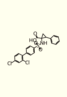 O=C(O)C1(NS(=O)(=O)c2ccc(-c3ccc(Cl)cc3Cl)cc2)CC1c1ccccc1